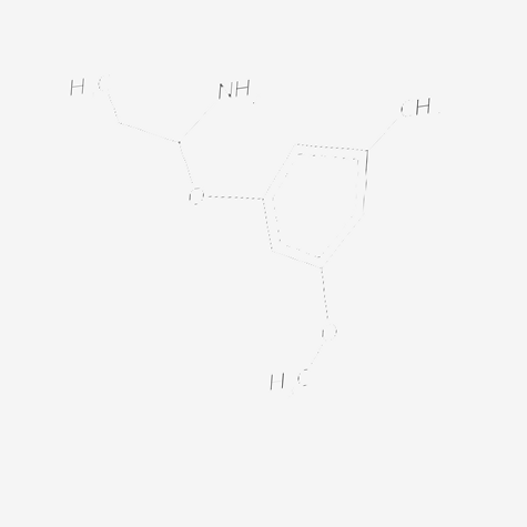 CCC(N)Oc1cc(C)cc(OC)c1